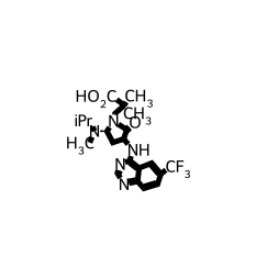 CC(C)N(C)[C@H]1CC(Nc2ncnc3ccc(C(F)(F)F)cc23)C(=O)N1CC(C)(C)C(=O)O